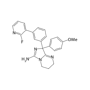 COc1ccc(C2(c3cccc(-c4cccnc4F)c3)N=C(N)N3CCCN=C32)cc1